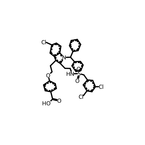 O=C(O)c1ccc(OCCc2c(CCNS(=O)(=O)Cc3cc(Cl)cc(Cl)c3)n(C(c3ccccc3)c3ccccc3)c3ccc(Cl)cc23)cc1